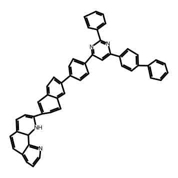 C1=Cc2cccnc2C2NC(c3ccc4cc(-c5ccc(-c6cc(-c7ccc(-c8ccccc8)cc7)nc(-c7ccccc7)n6)cc5)ccc4c3)=CC=C12